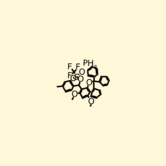 COc1cc(OC)c(C(OS(=O)(=O)C(F)(F)F)c2ccc(C)cc2)c(OC(c2ccccc2)(c2ccccc2)c2ccccc2)c1.P